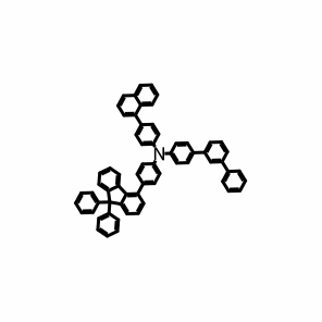 c1ccc(-c2cccc(-c3ccc(N(c4ccc(-c5cccc6c5-c5ccccc5C6(c5ccccc5)c5ccccc5)cc4)c4ccc(-c5cccc6ccccc56)cc4)cc3)c2)cc1